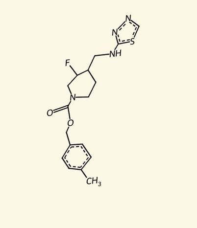 Cc1ccc(COC(=O)N2CCC(CNc3nncs3)C(F)C2)cc1